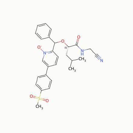 CC(C)C[C@H](OC(c1ccccc1)c1ccc(-c2ccc(S(C)(=O)=O)cc2)c[n+]1[O-])C(=O)NCC#N